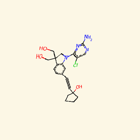 Nc1ncc(Cl)c(N2CC(CO)(CO)c3ccc(C#CC4(O)CCCC4)cc32)n1